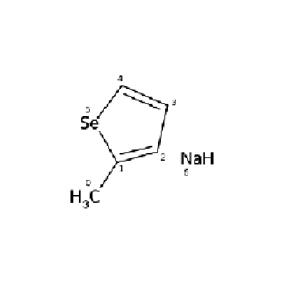 Cc1ccc[se]1.[NaH]